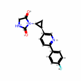 O=C1CNC(=O)N1[C@@H]1C[C@H]1c1ccc(-c2ccc(F)cc2)nc1